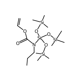 C=COC(=O)N(CCC)[Si](O[Si](C)(C)C)(O[Si](C)(C)C)O[Si](C)(C)C